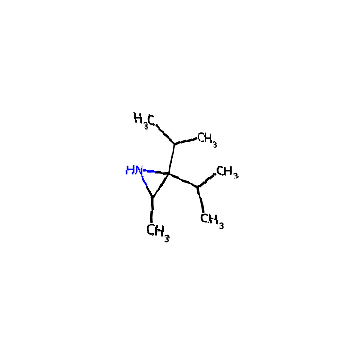 CC(C)C1(C(C)C)NC1C